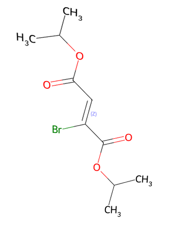 CC(C)OC(=O)/C=C(\Br)C(=O)OC(C)C